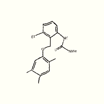 CCc1cccc(NC(=O)NC)c1COc1cc(C)c(C)cc1C